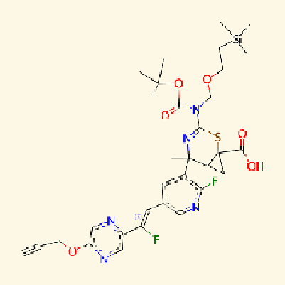 C#CCOc1cnc(/C(F)=C/c2cnc(F)c(C3(C)N=C(N(COCC[Si](C)(C)C)C(=O)OC(C)(C)C)SC4(C(=O)O)CC43)c2)cn1